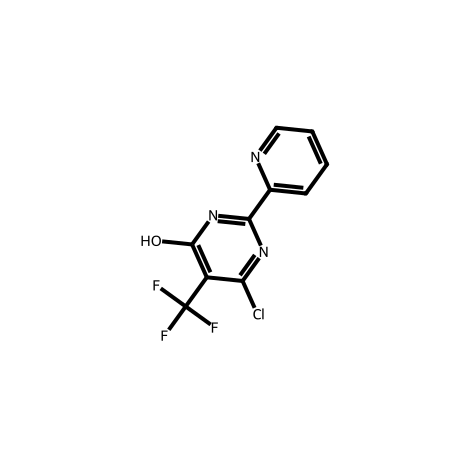 Oc1nc(-c2ccccn2)nc(Cl)c1C(F)(F)F